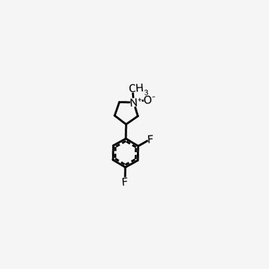 C[N+]1([O-])CCC(c2ccc(F)cc2F)C1